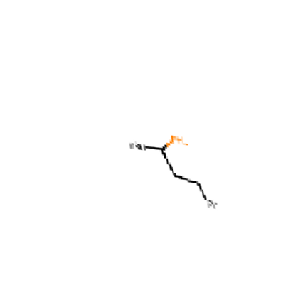 CCCCC(P)CCC(C)C